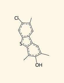 Cc1cc2c(cc1Cl)sc1c(C)c(O)c(C)cc12